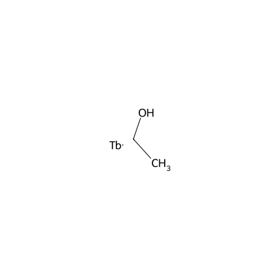 CCO.[Tb]